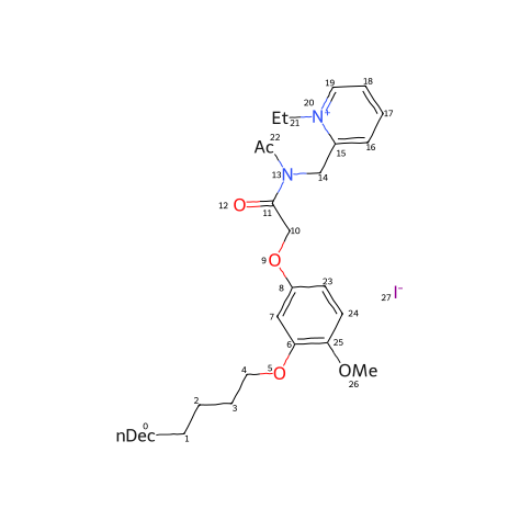 CCCCCCCCCCCCCCOc1cc(OCC(=O)N(Cc2cccc[n+]2CC)C(C)=O)ccc1OC.[I-]